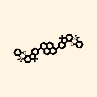 CC1(C)c2cc(-c3ccc4ccc5c(-c6ccc7c(c6)C(C)(C)c6ccc8c(c6-7)Oc6ccccc6[Si]8(C)C)ccc6ccc3c4c65)ccc2-c2c1ccc1c2Oc2ccccc2[Si]1(C)C